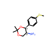 CSc1ccc([C@@H]2OC(C)(C)OC[C@@H]2N)cc1